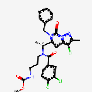 Cc1nn2c(=O)n(Cc3ccccc3)c([C@@H](C(C)C)N(CCCNC(=O)OC(C)(C)C)C(=O)c3ccc(Cl)c(Cl)c3)cc2c1Cl